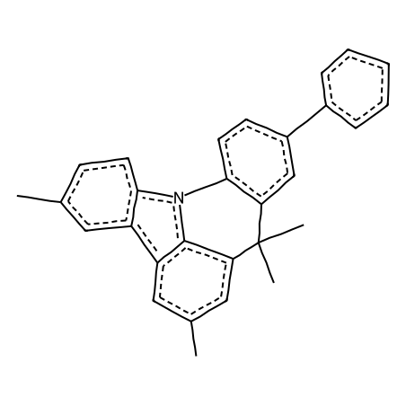 Cc1ccc2c(c1)c1cc(C)cc3c1n2-c1ccc(-c2ccccc2)cc1C3(C)C